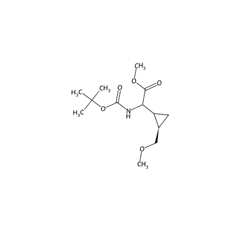 COC[C@@H]1CC1C(NC(=O)OC(C)(C)C)C(=O)OC